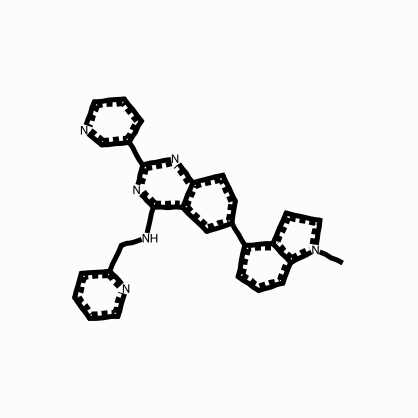 Cn1ccc2c(-c3ccc4nc(-c5cccnc5)nc(NCc5ccccn5)c4c3)cccc21